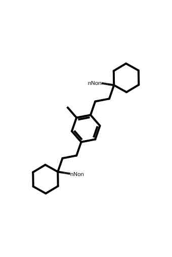 CCCCCCCCCC1(CCc2ccc(CCC3(CCCCCCCCC)CCCCC3)c(C)c2)CCCCC1